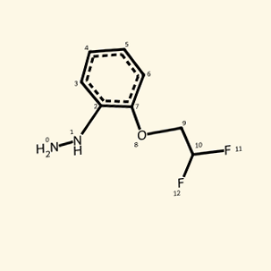 NNc1ccccc1OCC(F)F